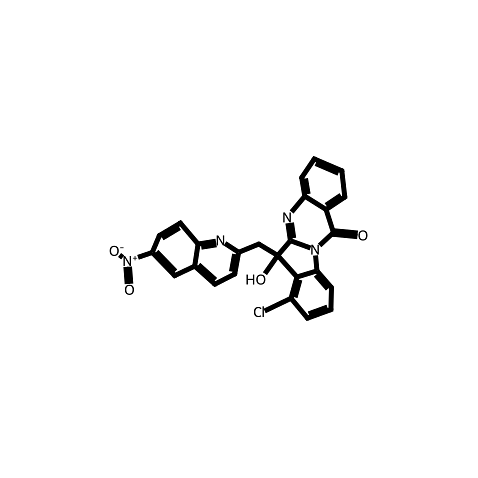 O=c1c2ccccc2nc2n1-c1cccc(Cl)c1C2(O)Cc1ccc2cc([N+](=O)[O-])ccc2n1